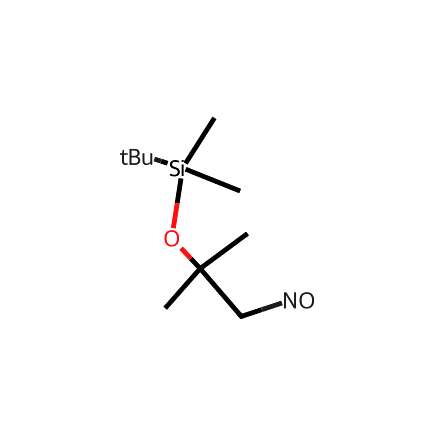 CC(C)(CN=O)O[Si](C)(C)C(C)(C)C